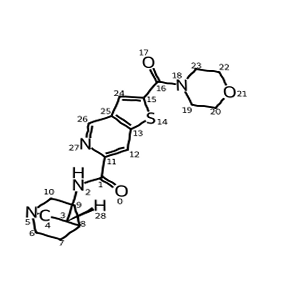 O=C(N[C@H]1CN2CCC1CC2)c1cc2sc(C(=O)N3CCOCC3)cc2cn1